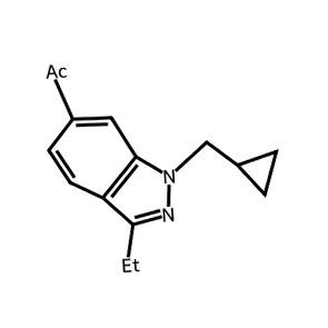 CCc1nn(CC2CC2)c2cc(C(C)=O)ccc12